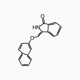 O=C1N/C(=C\Oc2ccc3ccccc3c2)c2ccccc21